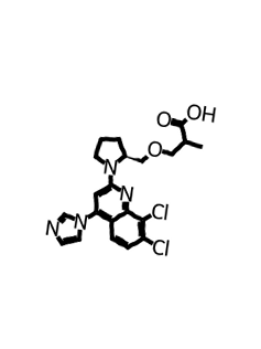 CC(COC[C@@H]1CCCN1c1cc(-n2ccnc2)c2ccc(Cl)c(Cl)c2n1)C(=O)O